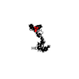 CC(C)[C@@H](C(=O)N1C[C@H](O)C[C@H]1C(=O)N[C@@H](C)c1ccc(C#N)cc1)c1cc(OCCN2CCN(CCOc3cc(N4C5CCC4CN(c4cc(-c6ccccc6O)nnc4N)C5)ccn3)CC2)no1